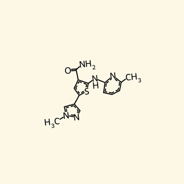 Cc1cccc(Nc2sc(-c3cnn(C)c3)cc2C(N)=O)n1